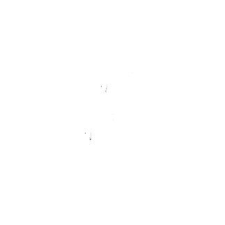 Cc1nc2c(C=O)cccn2c1C